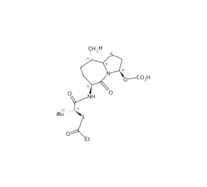 CCC(=O)S[C@H](C(=O)N[C@H]1CC[C@H](C)[C@H]2SC[C@@H](OC(=O)O)N2C1=O)[C@@H](C)CC